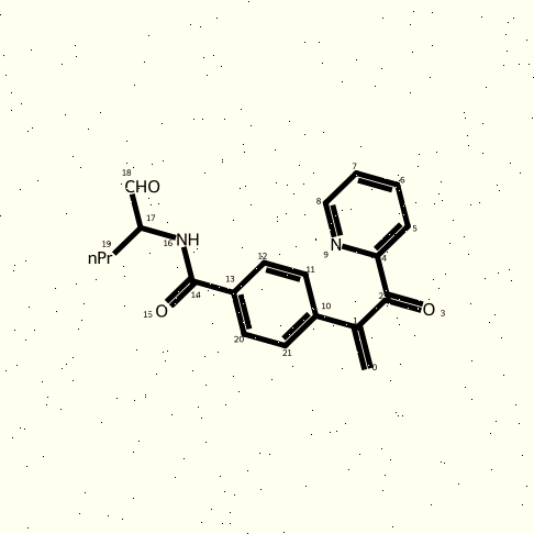 C=C(C(=O)c1ccccn1)c1ccc(C(=O)NC(C=O)CCC)cc1